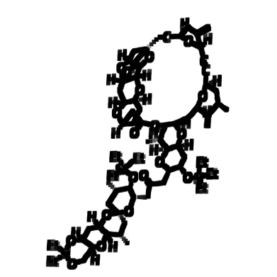 C=C1C[C@@H]2CC[C@@]34C[C@H]5O[C@H]6C(O3)[C@H]3O[C@H](CC[C@@H]3O[C@H]6[C@H]5O4)CC(=O)O[C@@H]3[C@@H](C)[C@@H]4O[C@H](CC(=O)C[C@@H]5O[C@]6(C[C@H](C)[C@@H]7O[C@@H]8CO[Si](CC)(CC)O[C@@H]8C[C@@H]7O6)C[C@H](C)[C@@H]5O[Si](CC)(CC)CC)[C@H](O[Si](CC)(CC)CC)C[C@@H]4O[C@H]3C[C@H]3O[C@@H](CC[C@@H]1O2)C[C@@H](C)C3=C